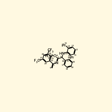 C=C(/N=C(\ON)C(Nc1c(C(C)C)cccc1C(C)C)c1ccccc1)c1cc(C(F)(F)F)cc(C(F)(F)F)c1